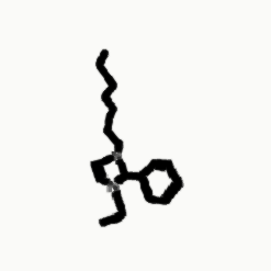 CCCCCCCN1C=CN(CC)C1c1ccccc1